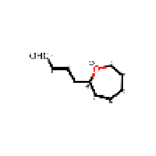 O=CCCCC1CCCCCO1